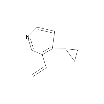 C=Cc1cnccc1C1CC1